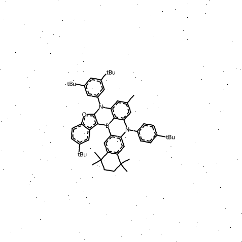 Cc1cc2c3c(c1)N(c1cc(C(C)(C)C)cc(C(C)(C)C)c1)c1oc4ccc(C(C)(C)C)cc4c1B3c1cc3c(cc1N2c1ccc(C(C)(C)C)cc1)C(C)(C)CCC3(C)C